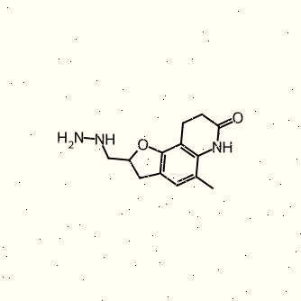 Cc1cc2c(c3c1NC(=O)CC3)OC(CNN)C2